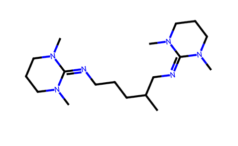 CC(CCCN=C1N(C)CCCN1C)CN=C1N(C)CCCN1C